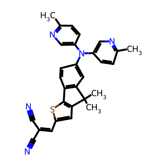 Cc1ccc(N(c2ccc(C)nc2)c2ccc3c(c2)C(C)(C)c2cc(C=C(C#N)C#N)sc2-3)cn1